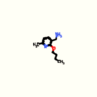 CCCCOc1nc(C)ccc1CN